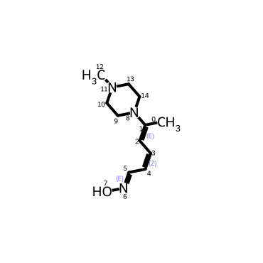 C\C(=C/C=C\C=N\O)N1CCN(C)CC1